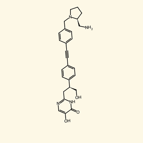 NC[C@@H]1CCCN1Cc1ccc(C#Cc2ccc([C@@H](CO)Cc3ncc(O)c(=O)[nH]3)cc2)cc1